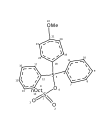 CCCCCCCCS(=O)(=O)OS(c1ccccc1)(c1ccccc1)c1ccc(OC)cc1